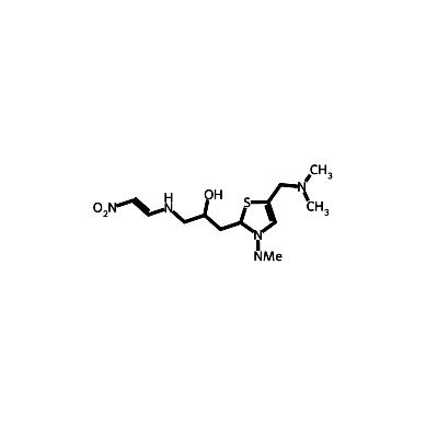 CNN1C=C(CN(C)C)SC1CC(O)CNC=C[N+](=O)[O-]